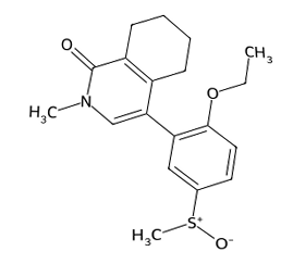 CCOc1ccc([S+](C)[O-])cc1-c1cn(C)c(=O)c2c1CCCC2